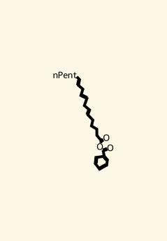 CCCCCC=CCC=CCC=CCCCCC(=O)OC(=O)c1ccccc1